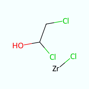 OC(Cl)CCl.[Cl][Zr]